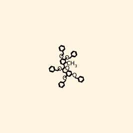 Cc1c(C2=C(OCc3ccccc3)Cc3c(OCc4ccccc4)cc(OCc4ccccc4)cc3O2)ccc(OCc2ccccc2)c1OCc1ccccc1